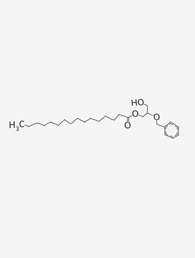 CCCCCCCCCCCCCCCC(=O)OCC(CO)OCc1ccccc1